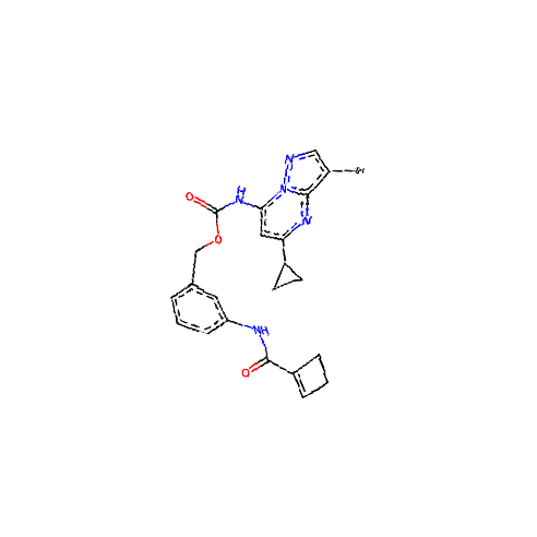 CC(C)c1cnn2c(NC(=O)OCc3cccc(NC(=O)C4=CCC4)c3)cc(C3CC3)nc12